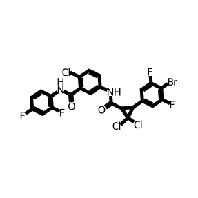 O=C(Nc1ccc(F)cc1F)c1cc(NC(=O)C2C(c3cc(F)c(Br)c(F)c3)C2(Cl)Cl)ccc1Cl